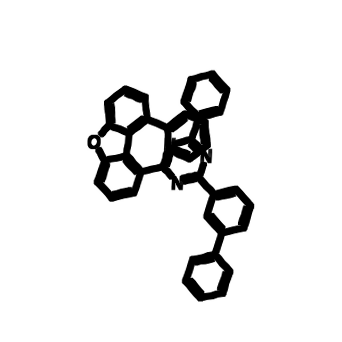 c1ccc(-c2cccc(-c3nc(-c4ccccc4)nc(-c4cccc5oc6cccc(-c7ccccc7)c6c45)n3)c2)cc1